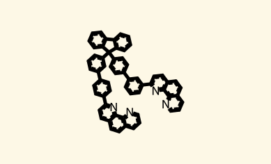 c1cc(-c2ccc(C3(c4cccc(-c5ccc(-c6ccc7ccc8cccnc8c7n6)cc5)c4)c4ccccc4-c4ccccc43)cc2)cc(-c2ccc3ccc4cccnc4c3n2)c1